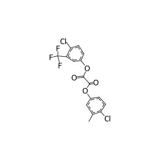 Cc1cc(OC(=O)C(=O)Oc2ccc(Cl)c(C(F)(F)F)c2)ccc1Cl